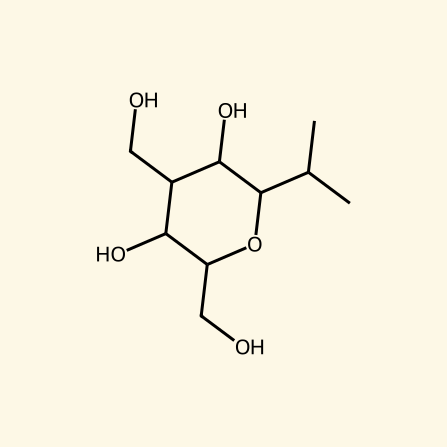 CC(C)C1OC(CO)C(O)C(CO)C1O